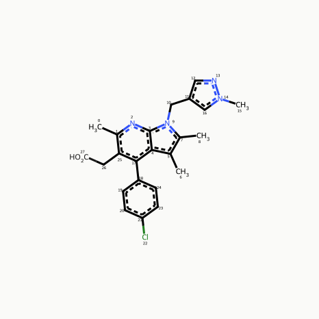 Cc1nc2c(c(C)c(C)n2Cc2cnn(C)c2)c(-c2ccc(Cl)cc2)c1CC(=O)O